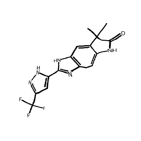 CC1(C)C(=O)Nc2cc3nc(-c4cc(C(F)(F)F)n[nH]4)[nH]c3cc21